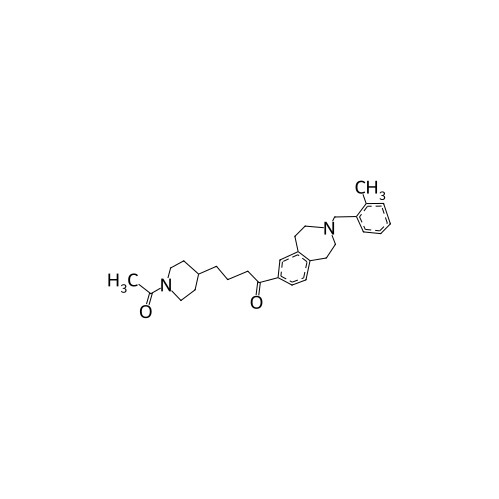 CC(=O)N1CCC(CCCC(=O)c2ccc3c(c2)CCN(Cc2ccccc2C)CC3)CC1